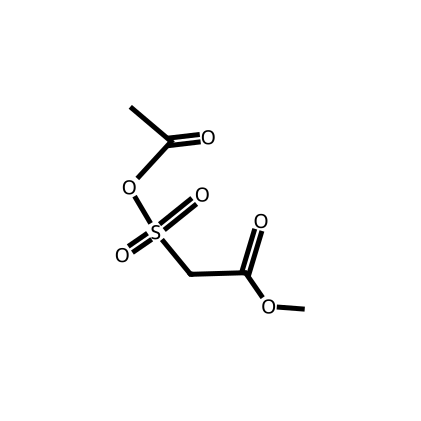 COC(=O)CS(=O)(=O)OC(C)=O